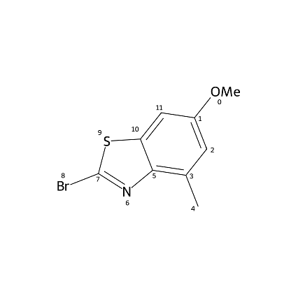 COc1cc(C)c2nc(Br)sc2c1